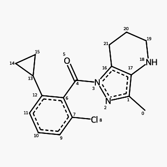 Cc1nn(C(=O)c2c(Cl)cccc2C2CC2)c2c1NCCC2